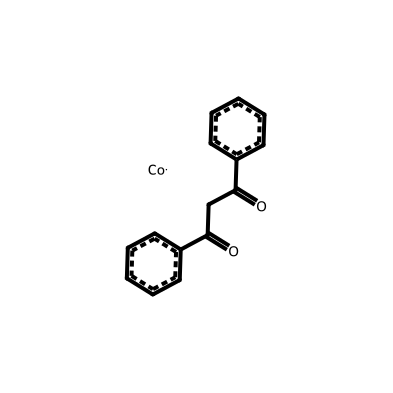 O=C(CC(=O)c1ccccc1)c1ccccc1.[Co]